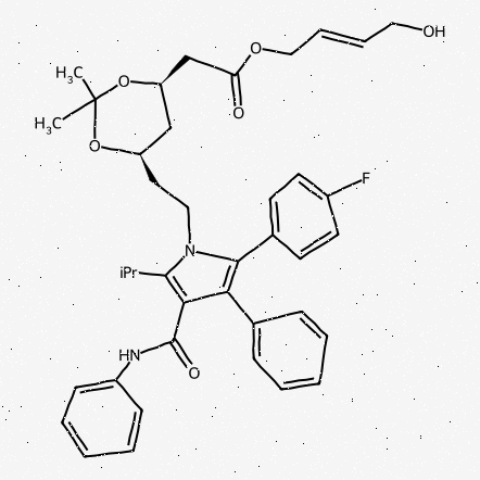 CC(C)c1c(C(=O)Nc2ccccc2)c(-c2ccccc2)c(-c2ccc(F)cc2)n1CC[C@@H]1C[C@H](CC(=O)OCC=CCO)OC(C)(C)O1